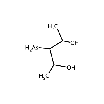 CC(O)C([AsH2])C(C)O